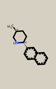 C[C@H]1CC[C@H](c2ccc3ccccc3c2)NC1